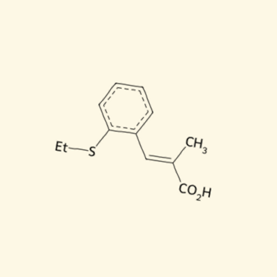 CCSc1ccccc1C=C(C)C(=O)O